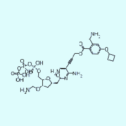 N/C=C(C#CCOC(=O)c1ccc(OC2CCC2)cc1CN)\C(N)=N/C(=O)C[C@H]1C[C@@H](OCN)C(COP(=O)(O)OP(=O)(O)OP(=O)(O)O)O1